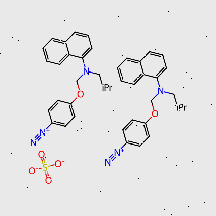 CC(C)CN(COc1ccc([N+]#N)cc1)c1cccc2ccccc12.CC(C)CN(COc1ccc([N+]#N)cc1)c1cccc2ccccc12.O=S(=O)([O-])[O-]